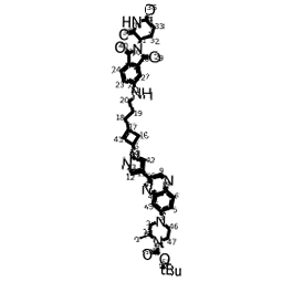 C[C@H]1CN(c2ccc3ncc(-c4cnn(C5CC(CCCNc6ccc7c(c6)C(=O)N(C6CCC(=O)NC6=O)C7=O)C5)c4)nc3c2)CCN1C(=O)OC(C)(C)C